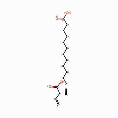 C=C.C=CCC(=O)O.CCCCCCCCCCCC(=O)O